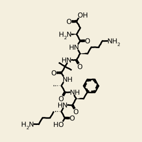 C[C@H](NC(=O)C(C)(C)NC(=O)[C@H](CCCCN)NC(=O)[C@@H](N)CC(=O)O)C(=O)N[C@@H](Cc1ccccc1)C(=O)N[C@@H](CCCCN)C(=O)O